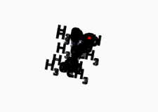 CCC(O)C(C)C1OC1CC(C)C=CC=C(C)C1OC(=O)C(OC(C)=O)C(O)CCC(C)(OC)C/C=C/C1C